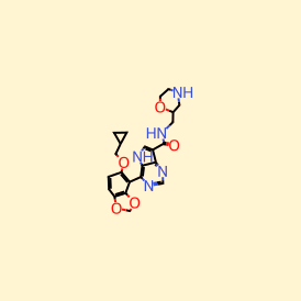 O=C(NCC1CNCCO1)c1c[nH]c2c(-c3c(OCC4CC4)ccc4c3OCO4)ncnc12